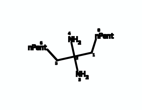 CCCCCCC(N)(N)CCCCCC